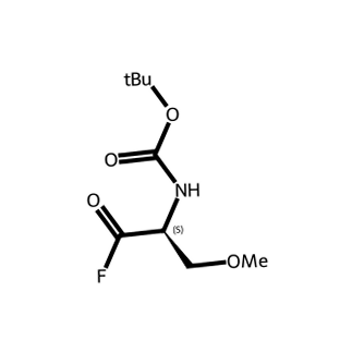 COC[C@H](NC(=O)OC(C)(C)C)C(=O)F